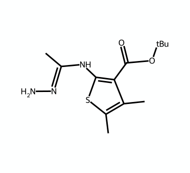 CC(=NN)Nc1sc(C)c(C)c1C(=O)OC(C)(C)C